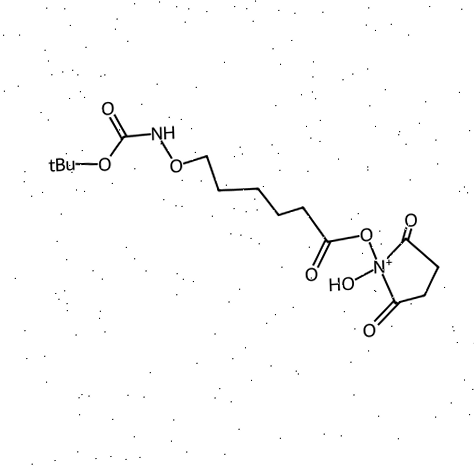 CC(C)(C)OC(=O)NOCCCCCC(=O)O[N+]1(O)C(=O)CCC1=O